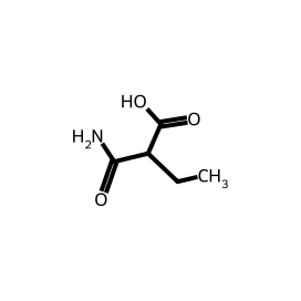 CCC(C(N)=O)C(=O)O